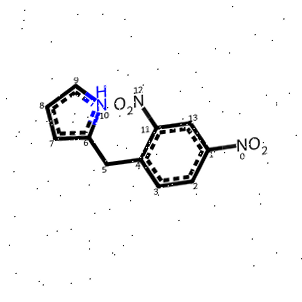 O=[N+]([O-])c1ccc(Cc2ccc[nH]2)c([N+](=O)[O-])c1